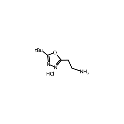 CC(C)(C)c1nnc(CCN)o1.Cl